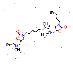 CC(C)CCCN1C[C@H](CN(C)CC(C)CC/C=C/CCN2C[C@@H](CN(C)CC(C)C)OC2=O)OC1=O